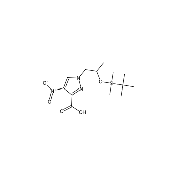 CC(Cn1cc([N+](=O)[O-])c(C(=O)O)n1)O[Si](C)(C)C(C)(C)C